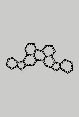 c1ccc2c(c1)sc1cc3c4cc5sc6ccccc6c5c5cccc(c6cccc(c12)c63)c45